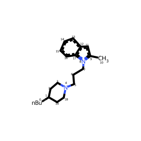 CCCCC1CCN(CCCn2c(C)cc3ccccc32)CC1